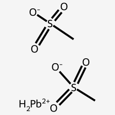 CS(=O)(=O)[O-].CS(=O)(=O)[O-].[PbH2+2]